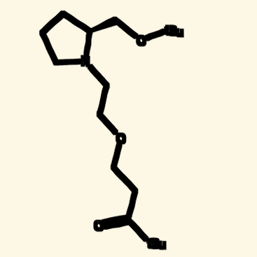 CC(C)(C)OC[C@@H]1CCCN1CCOCCC(=O)C(C)(C)C